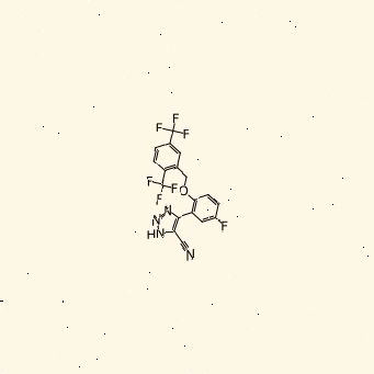 N#Cc1[nH]nnc1-c1cc(F)ccc1OCc1cc(C(F)(F)F)ccc1C(F)(F)F